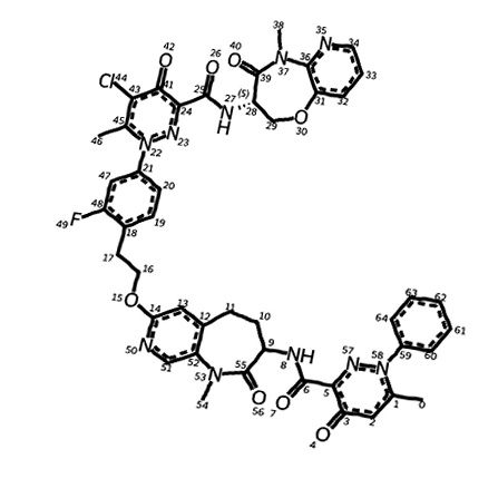 Cc1cc(=O)c(C(=O)NC2CCc3cc(OCCc4ccc(-n5nc(C(=O)N[C@H]6COc7cccnc7N(C)C6=O)c(=O)c(Cl)c5C)cc4F)ncc3N(C)C2=O)nn1-c1ccccc1